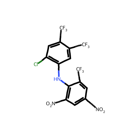 O=[N+]([O-])c1cc([N+](=O)[O-])c(Nc2cc(C(F)(F)F)c(C(F)(F)F)cc2Cl)c(C(F)(F)F)c1